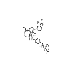 CCN1CCCCN(C(=O)Nc2ccc(CNC(=O)OC(C)(C)C)cc2)c2nc(-c3cccc(C(F)(F)F)c3)ccc21